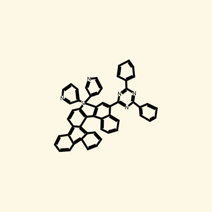 c1ccc(-c2nc(-c3ccccc3)nc(-c3cc4c(c5ccccc35)-c3c(ccc5c6ccccc6c6ccccc6c35)[Si]4(c3cccnc3)c3cccnc3)n2)cc1